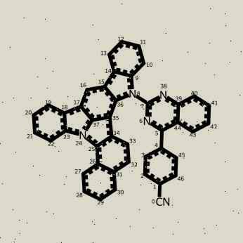 N#Cc1ccc(-c2nc(-n3c4ccccc4c4cc5c6ccccc6n6c7c8ccccc8ccc7c(c43)c56)nc3ccccc23)cc1